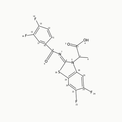 CC(C(=O)O)n1/c(=N/C(=O)c2ccc(F)c(F)c2)sc2cc(F)c(F)cc21